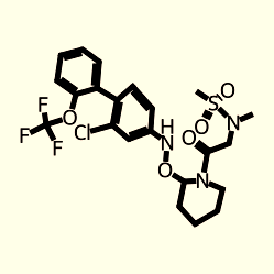 CN(CC(=O)N1CCCCC1ONc1ccc(-c2ccccc2OC(F)(F)F)c(Cl)c1)S(C)(=O)=O